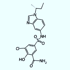 CC[C@@H](C)n1cnc2cc(NS(=O)(=O)c3cc(Cl)c(O)c(C(N)=O)c3)ccc21